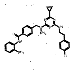 Nc1ccccc1NC(=O)c1ccc(CN(N)c2nc(NCCc3ccc(Cl)cc3)nc(C3CC3)n2)cc1